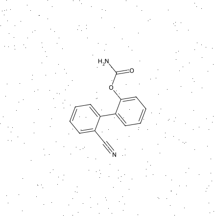 N#Cc1ccccc1-c1ccccc1OC(N)=O